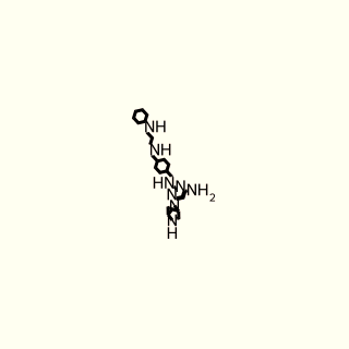 Nc1cc(N2CC3CC2CN3)nc(NCC2CCC(CNCCCNC3CCCCC3)CC2)n1